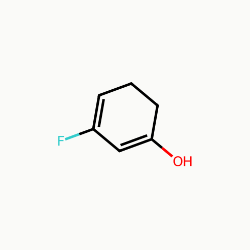 OC1=CC(F)=CCC1